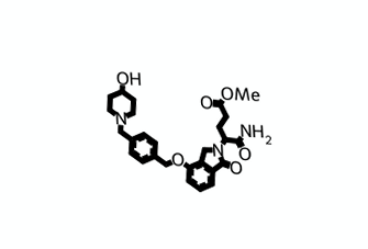 COC(=O)CCC(C(N)=O)N1Cc2c(OCc3ccc(CN4CCC(O)CC4)cc3)cccc2C1=O